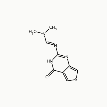 CN(C)/C=N/c1nc2cscc2c(=O)[nH]1